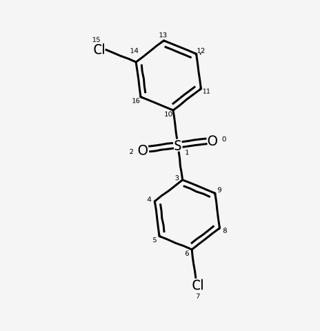 O=S(=O)(c1ccc(Cl)cc1)c1c[c]cc(Cl)c1